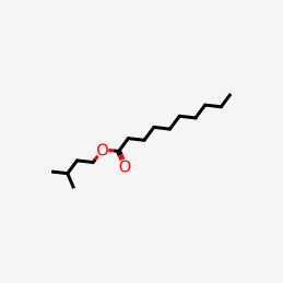 CCCCCCCCCC(=O)OCCC(C)C